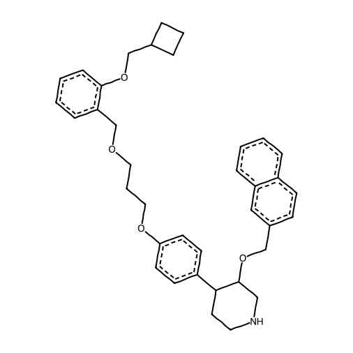 c1ccc(OCC2CCC2)c(COCCCOc2ccc(C3CCNCC3OCc3ccc4ccccc4c3)cc2)c1